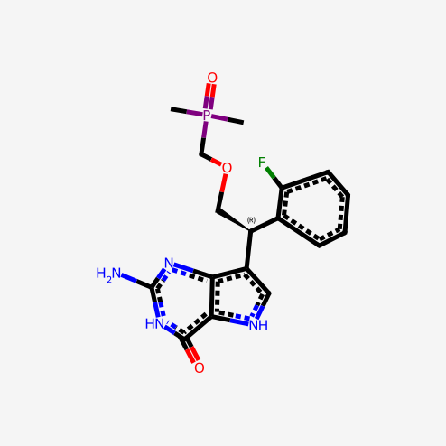 CP(C)(=O)COC[C@@H](c1ccccc1F)c1c[nH]c2c(=O)[nH]c(N)nc12